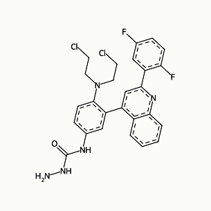 NNC(=O)Nc1ccc(N(CCCl)CCCl)c(-c2cc(-c3cc(F)ccc3F)nc3ccccc23)c1